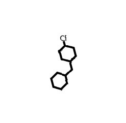 ClC1CCC(CC2CCCCC2)CC1